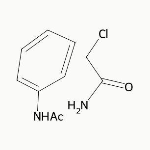 CC(=O)Nc1ccccc1.NC(=O)CCl